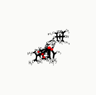 CC(C)C(C(C)C)C(C)(C)C(OB1O[B-]23OB(OC(C(C)C)(C(C)C)C(C)(C)C(O)(C(C)C)C(C)C)O[B-](O1)(O2)OC(C(C)C)(C(C)C)C(C)(C)C(C(C)C)(C(C)C)O3)(C(C)C)C(C)C